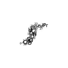 Cc1ccc(S(=O)(=O)O[C@H]2CC[C@@]3(C)C(=CC=C4[C@@H]5CC[C@H]([C@H](C)C=C[C@H](C)C(C)C)[C@@]5(C)CC[C@@H]43)C2)cc1